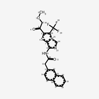 COCC(=O)c1sc2c(NC(=O)Cc3ccc4ccccc4c3)ncn2c1C(F)(F)F